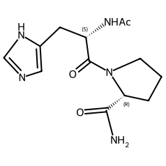 CC(=O)N[C@@H](Cc1cnc[nH]1)C(=O)N1CCC[C@@H]1C(N)=O